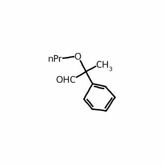 CCCOC(C)(C=O)c1ccccc1